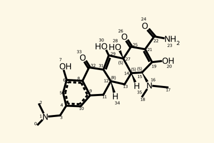 CN(C)Cc1cc(O)c2c(c1)C[C@H]1C[C@H]3[C@H](N(C)C)C(O)=C(C(N)=O)C(=O)[C@@]3(O)C(O)=C1C2=O